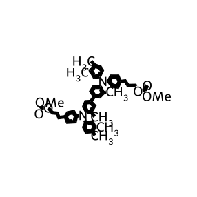 COC(=O)OCCCc1ccc(N(c2ccc(C)c(C)c2)c2ccc(-c3ccc(N(c4ccc(CCCOC(=O)OC)cc4)c4ccc(C)c(C)c4)c(C)c3)cc2C)cc1